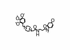 COc1ccc(CN2CCN(CC(=O)NCCC3OC4=C(C=CC(=O)C4)N3C)CC2)c(OC)c1OC